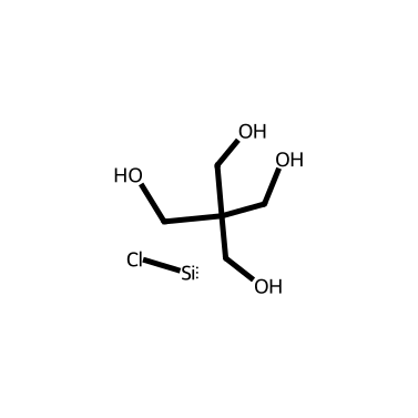 OCC(CO)(CO)CO.[Si]Cl